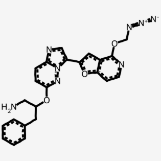 [N-]=[N+]=NCOc1nccc2oc(-c3cnc4ccc(OC(CN)Cc5ccccc5)nn34)cc12